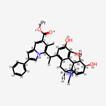 Cc1c(C(=O)OC(C)C)cc2cc(-c3ccccc3)cn2c1C(C)c1cc(O)c2c3c1C[C@@H]1[C@@H]4C=C[C@H](O)[C@H](O2)[C@]34CCN1C